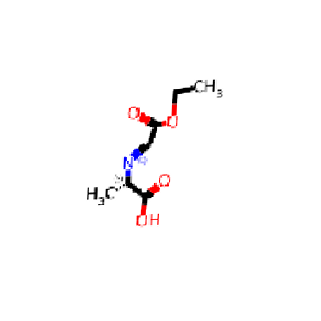 CCOC(=O)/C=N/[C@@H](C)C(=O)O